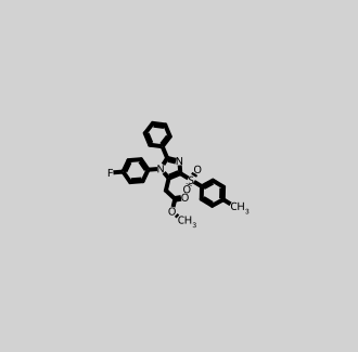 COC(=O)Cc1c(S(=O)(=O)c2ccc(C)cc2)nc(-c2ccccc2)n1-c1ccc(F)cc1